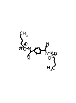 CCCCS(=O)(=O)O/N=C(\C#N)c1ccc(/C(C#N)=N/OS(=O)(=O)CCCC)cc1